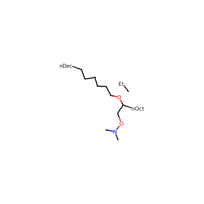 CCC.CCCCCCCCCCCCCCCCOC(CCCCCCCC)CON(C)C